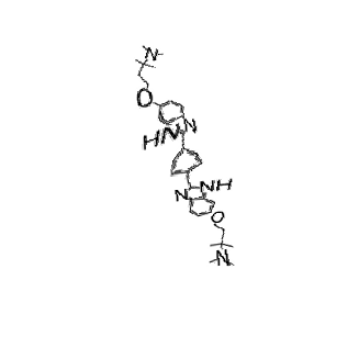 CN(C)C(C)(C)CCOc1ccc2nc(-c3ccc(-c4nc5ccc(OCCC(C)(C)N(C)C)cc5[nH]4)cc3)[nH]c2c1